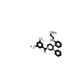 COCCNc1ccccc1[C@@H]1CCN(C(=O)c2cc(C(F)(F)F)cc(C(F)(F)F)c2)C[C@@H]1c1ccccc1